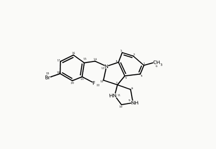 Cc1ccc2c(c1)C1(CNCN1)CN2Cc1ccc(Br)cc1F